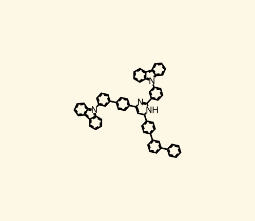 C1=C(c2ccc(-c3cccc(-n4c5ccccc5c5ccccc54)c3)cc2)N=C(c2cccc(-n3c4ccccc4c4ccccc43)c2)NC1c1ccc(-c2cccc(-c3ccccc3)c2)cc1